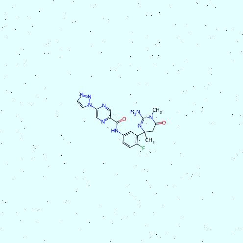 CN1C(=O)CC(C)(c2cc(NC(=O)c3cnc(-n4ccnn4)cn3)ccc2F)N=C1N